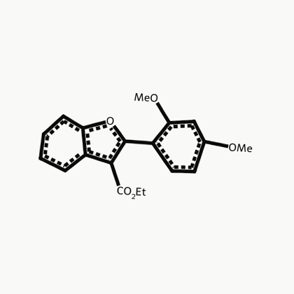 CCOC(=O)c1c(-c2ccc(OC)cc2OC)oc2ccccc12